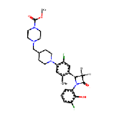 CCC1(CC)C(=O)N(c2cccc(F)c2O)[C@H]1c1cc(F)c(N2CCC(CN3CCN(C(=O)OC(C)(C)C)CC3)CC2)cc1OC